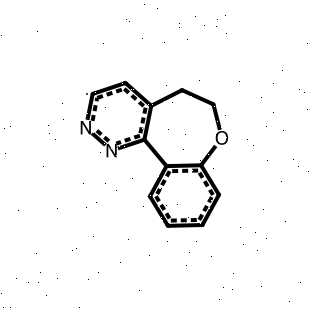 [c]1cc2c(nn1)-c1ccccc1OCC2